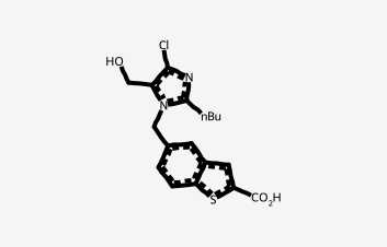 CCCCc1nc(Cl)c(CO)n1Cc1ccc2sc(C(=O)O)cc2c1